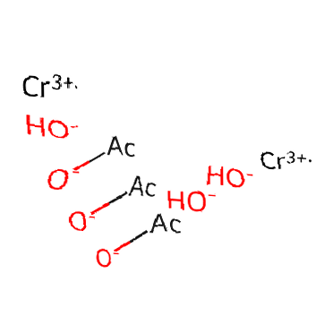 CC(=O)[O-].CC(=O)[O-].CC(=O)[O-].[Cr+3].[Cr+3].[OH-].[OH-].[OH-]